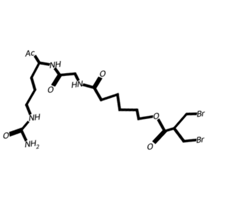 CC(=O)C(CCCNC(N)=O)NC(=O)CNC(=O)CCCCCOC(=O)C(CBr)CBr